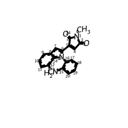 CN1C(=O)C=C(c2cc3cccc(Cl)c3n2-c2ccccc2N)C1=O